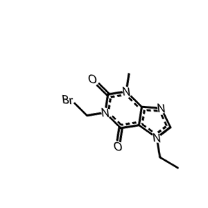 CCn1cnc2c1c(=O)n(CBr)c(=O)n2C